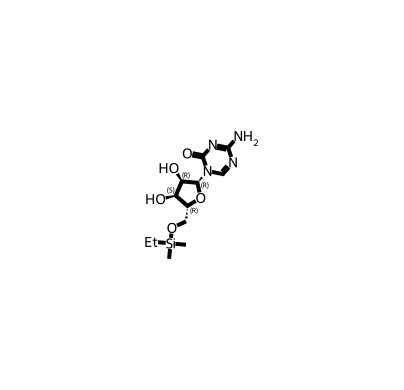 CC[Si](C)(C)OC[C@H]1O[C@@H](n2cnc(N)nc2=O)[C@H](O)[C@@H]1O